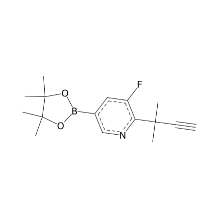 C#CC(C)(C)c1ncc(B2OC(C)(C)C(C)(C)O2)cc1F